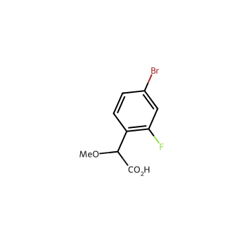 COC(C(=O)O)c1ccc(Br)cc1F